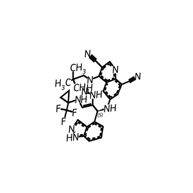 CC(C)(C)CNc1c(C#N)cnc2c(C#N)cc(N[C@H](C3=CN(C4(C(F)(F)F)CC4)NN3)c3cccc4[nH]ncc34)cc12